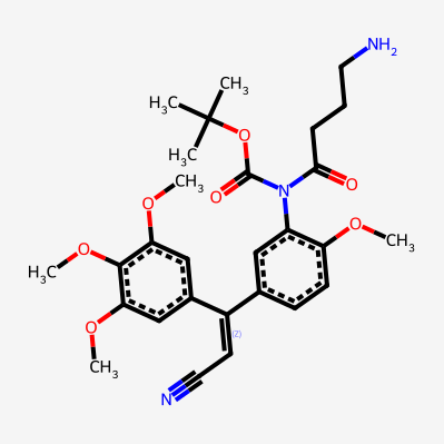 COc1ccc(/C(=C/C#N)c2cc(OC)c(OC)c(OC)c2)cc1N(C(=O)CCCN)C(=O)OC(C)(C)C